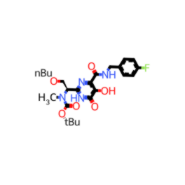 CCCCOC[C@@H](c1nc(C(=O)NCc2ccc(F)cc2)c(O)c(=O)[nH]1)N(C)C(=O)OC(C)(C)C